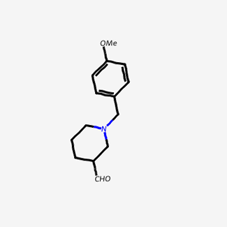 COc1ccc(CN2CCCC(C=O)C2)cc1